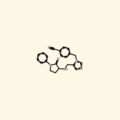 N#Cc1ccc(Cn2cncc2CNC2CCN(c3ccccc3)C2=O)cc1